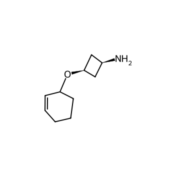 N[C@H]1C[C@@H](OC2C=CCCC2)C1